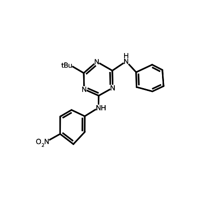 CC(C)(C)c1nc(Nc2ccccc2)nc(Nc2ccc([N+](=O)[O-])cc2)n1